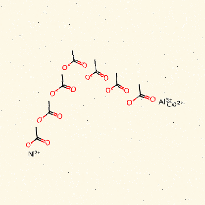 CC(=O)[O-].CC(=O)[O-].CC(=O)[O-].CC(=O)[O-].CC(=O)[O-].CC(=O)[O-].CC(=O)[O-].[Al+3].[Co+2].[Ni+2]